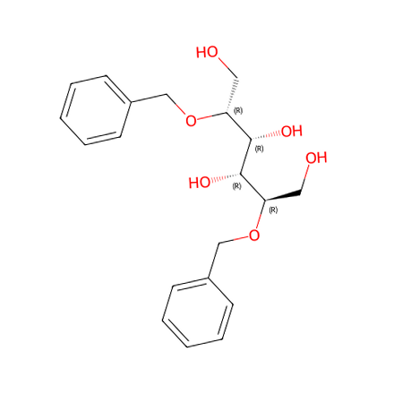 OC[C@@H](OCc1ccccc1)[C@H](O)[C@@H](O)[C@@H](CO)OCc1ccccc1